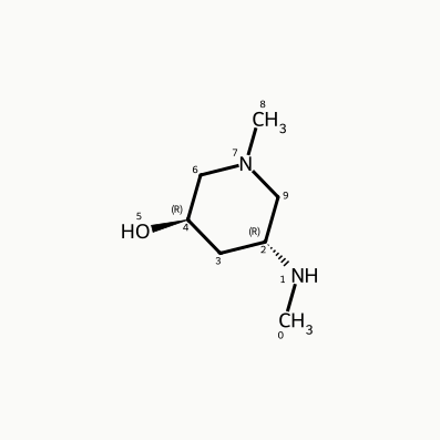 CN[C@@H]1C[C@@H](O)CN(C)C1